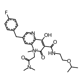 CC(C)OCCNC(=O)C1=C(O)c2ncc(Cc3ccc(F)cc3)cc2[N+](C)(CC(=O)N(C)C)C1=O